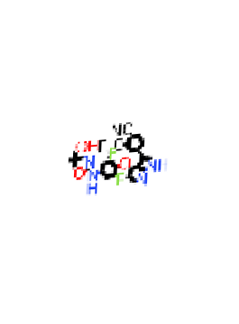 CC1(CO)CN=C(Nc2cc(F)c(Oc3ccnc4[nH]cc(-c5ccc(C#N)c(C(F)(F)F)c5)c34)c(F)c2)OC1